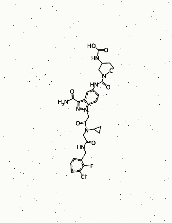 NC(=O)c1nn(CC(=O)N(CC(=O)NCc2cccc(Cl)c2F)C2CC2)c2ccc(NC(=O)N3CCCC(NC(=O)O)C3)cc12